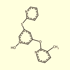 Cc1cccnc1Oc1cc(Sc2ccccn2)c[n+](O)c1